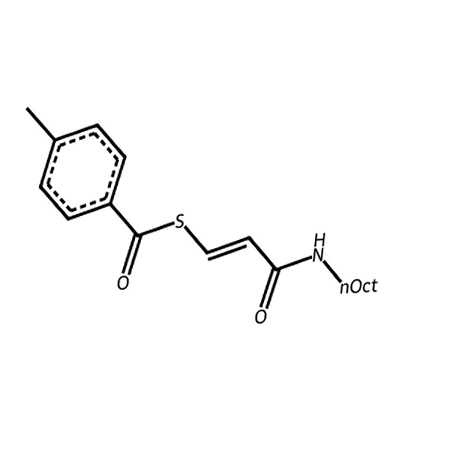 CCCCCCCCNC(=O)C=CSC(=O)c1ccc(C)cc1